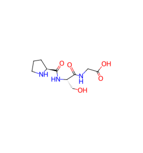 O=C(O)CNC(=O)[C@H](CO)NC(=O)[C@@H]1CCCN1